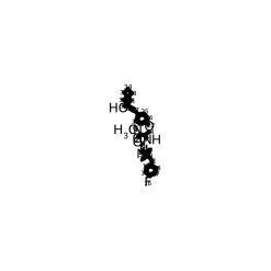 CN1C(=O)C(NC(=O)n2cc(Cc3ccc(F)cc3)cn2)COc2ccc(C#CC3(O)CC4(CCC4)C3)cc21